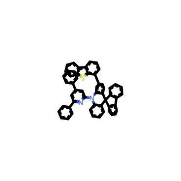 c1ccc(-c2cc(-c3ccccc3)nc(N3c4ccccc4C4(c5ccccc5-c5ccccc54)c4ccc(-c5cccc6c5sc5ccccc56)cc43)c2)cc1